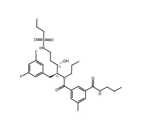 CCCNC(=O)c1cc(C)cc(C(=O)N(CCC)[C@@H](Cc2cc(F)cc(F)c2)[C@@H](O)CCNS(=O)(=O)CCC)c1